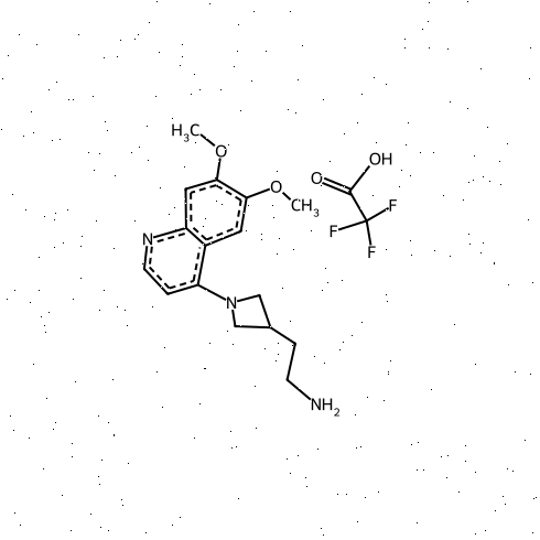 COc1cc2nccc(N3CC(CCN)C3)c2cc1OC.O=C(O)C(F)(F)F